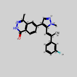 [CH2]c1n[nH]c(=O)c2ccc(-c3cnn(C)c3C=C(C#N)c3cccc(F)c3)cc12